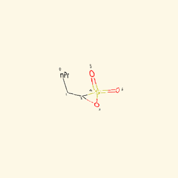 CCCC[C]1OS1(=O)=O